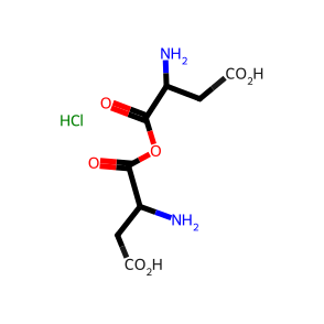 Cl.NC(CC(=O)O)C(=O)OC(=O)C(N)CC(=O)O